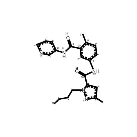 CCCCn1nc(C)cc1C(=O)Nc1ccc(C)c(C(=O)Nc2cccnc2)c1